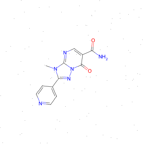 Cn1c(-c2ccncc2)nn2c(=O)c(C(N)=O)cnc12